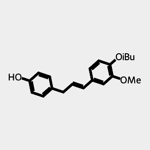 COc1cc(/C=C/Cc2ccc(O)cc2)ccc1OCC(C)C